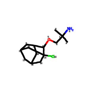 CC(C)(N)COC1C2CC3CC(C2)CC1(Cl)C3